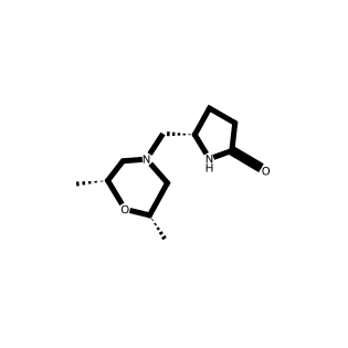 C[C@@H]1CN(C[C@@H]2CCC(=O)N2)C[C@H](C)O1